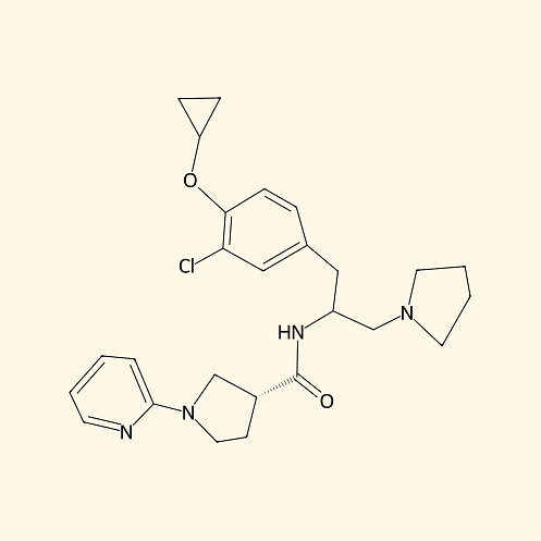 O=C(NC(Cc1ccc(OC2CC2)c(Cl)c1)CN1CCCC1)[C@@H]1CCN(c2ccccn2)C1